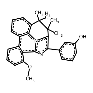 COc1cccc2c3cccc4c3n3c(c(-c5cccc(O)c5)nc3c12)C(C)(C)C4(C)C